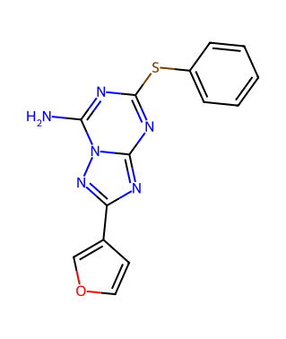 Nc1nc(Sc2ccccc2)nc2nc(-c3ccoc3)nn12